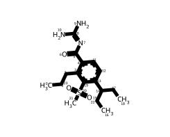 CCCc1c(C(=O)N=C(N)N)ccc(C(CC)CC)c1S(C)(=O)=O